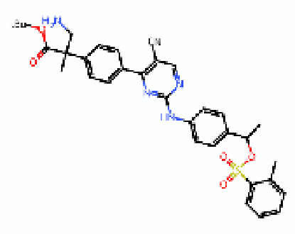 Cc1ccccc1S(=O)(=O)OC(C)c1ccc(Nc2ncc(C#N)c(-c3ccc(C(C)(CN)C(=O)OC(C)(C)C)cc3)n2)cc1